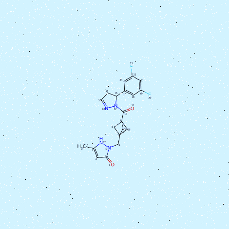 Cc1cc(=O)n(CC23CC(C(=O)N4N=CCC4c4cc(F)cc(F)c4)(C2)C3)[nH]1